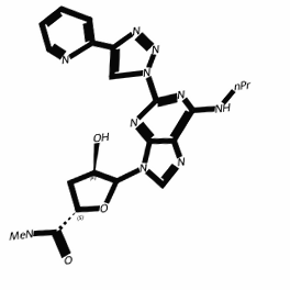 CCCNc1nc(-n2cc(-c3ccccn3)nn2)nc2c1ncn2C1O[C@H](C(=O)NC)C[C@H]1O